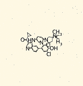 CN(C)C1CCN(c2ccc(Nc3c(C(=O)C4CC4)cnc4ccc(-c5cc(Cl)c(O)c(Cl)c5)cc34)cn2)C1